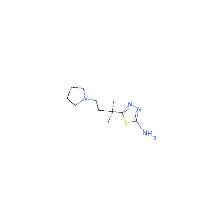 CC(C)(CCN1CCCC1)c1nnc(N)s1